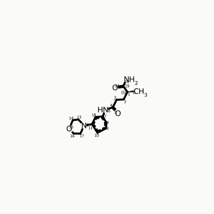 C[C@@H](C[CH]C(=O)Nc1cccc(N2CCOCC2)c1)C(N)=O